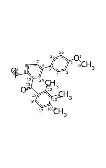 COc1ccc(-c2ccc(P=O)c(C(=O)c3ccc(C)c(C)c3C)c2)cc1